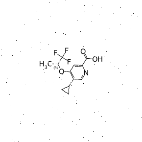 C[C@@H](Oc1cc(C(=O)O)ncc1C1CC1)C(F)(F)F